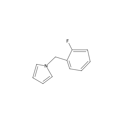 Fc1ccccc1Cn1cccc1